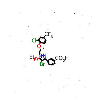 CCOc1c(Br)c(-c2cccc(C(=O)O)c2)nn1CCOc1ccc(C(F)(F)F)cc1Cl